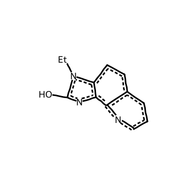 CCn1c(O)nc2c3ncccc3ccc21